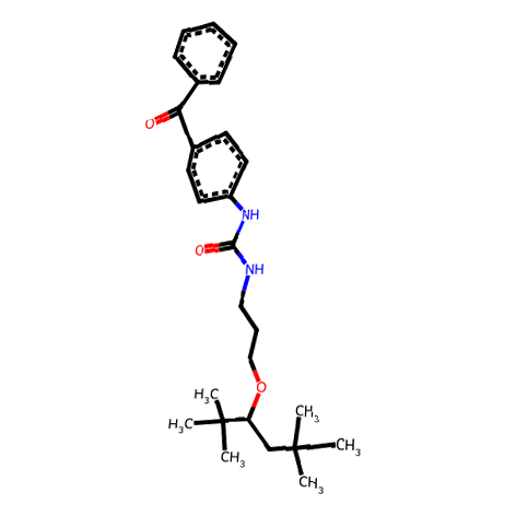 CC(C)(C)CC(OCCCNC(=O)Nc1ccc(C(=O)c2ccccc2)cc1)C(C)(C)C